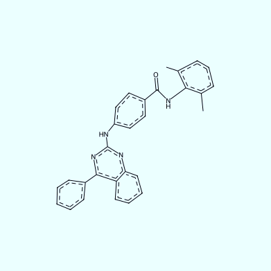 Cc1cccc(C)c1NC(=O)c1ccc(Nc2nc(-c3ccccc3)c3ccccc3n2)cc1